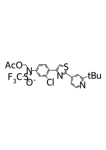 CC(=O)OCN(c1ccc(-c2csc(-c3ccnc(C(C)(C)C)c3)n2)c(Cl)c1)[S+]([O-])C(F)(F)F